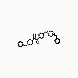 O=C(NC1CCN(Cc2ccccc2)CC1)c1ccc(CN2CCN(Cc3ccccc3)CC2)cc1